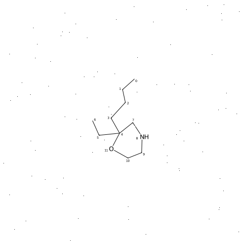 CCCCC1(CC)CNCCO1